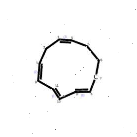 C1=C\C/C=C\CCC/C=C/C=C/1